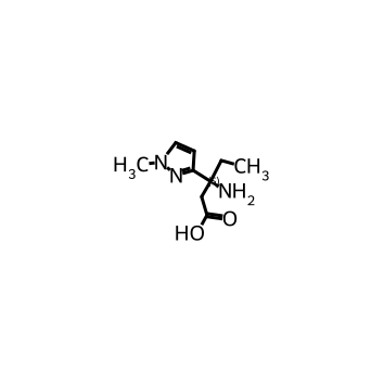 CC[C@](N)(CC(=O)O)c1ccn(C)n1